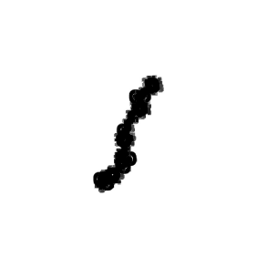 CC1(C)OCc2cc([C@@H]3CN(CCc4ccc(OCCCCc5cccc(C(=O)OCc6ccccc6)c5)cc4)C(=O)O3)ccc2O1